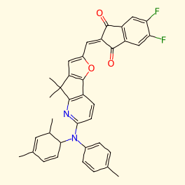 CC1=CC(C)C(N(c2ccc(C)cc2)c2ccc3c(n2)C(C)(C)c2cc(C=C4C(=O)c5cc(F)c(F)cc5C4=O)oc2-3)C=C1